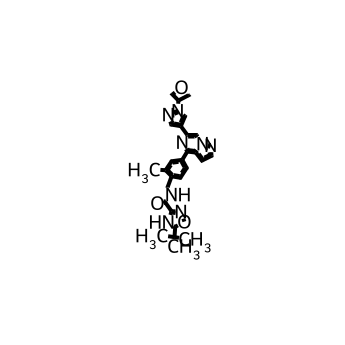 Cc1cc(-c2nc(-c3cnn(C4COC4)c3)cn3nccc23)ccc1CNC(=O)C1=NOC(C(C)(C)C)N1